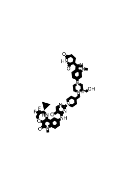 Cn1nc(C2CCC(=O)NC2=O)c2ccc(N3CCN(CC4CCN(c5ncc(Cl)c(Nc6ccc7c(c6)c6c(c(=O)n7C)OCC(F)(F)[C@H](C7CC7)N6)n5)CC4)[C@H](CO)C3)cc21